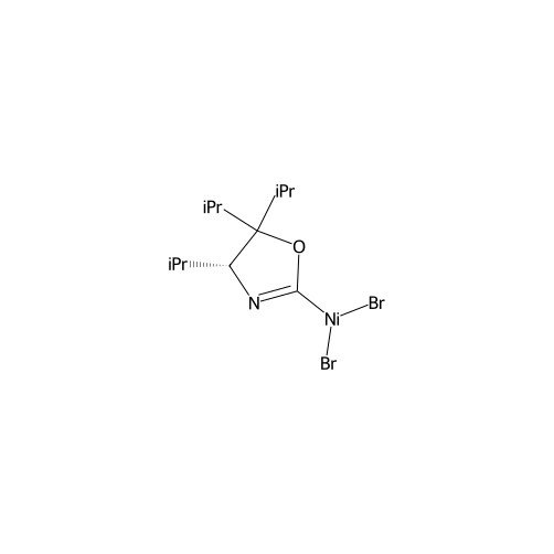 CC(C)[C@H]1N=[C]([Ni]([Br])[Br])OC1(C(C)C)C(C)C